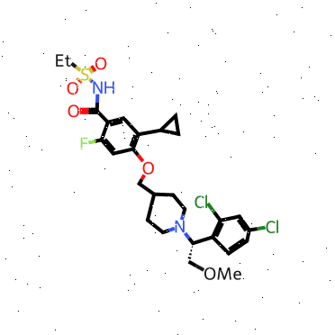 CCS(=O)(=O)NC(=O)c1cc(C2CC2)c(OCC2CCN([C@@H](COC)c3ccc(Cl)cc3Cl)CC2)cc1F